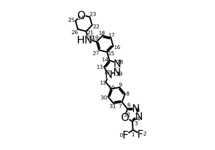 FC(F)c1nnc(-c2ccc(Cn3cc(-c4cccc(NC5CCOCC5)c4)nn3)cc2)o1